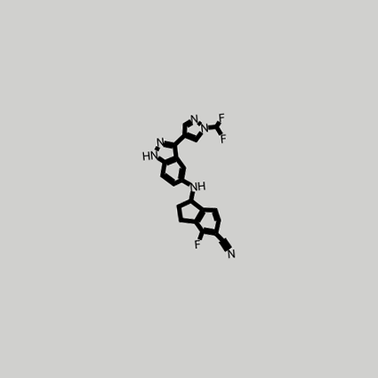 N#Cc1ccc2c(c1F)CCC2Nc1ccc2[nH]nc(-c3cnn(C(F)F)c3)c2c1